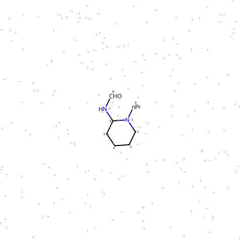 CCCN1CCCCC1NC=O